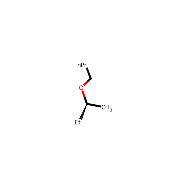 CCCCO[C@@H](C)CC